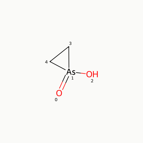 O=[As]1(O)CC1